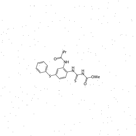 COC(=O)NC(=S)Nc1ccc(Sc2ccccc2)cc1NC(=O)C(C)C